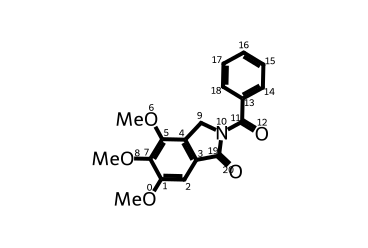 COc1cc2c(c(OC)c1OC)CN(C(=O)c1ccccc1)C2=O